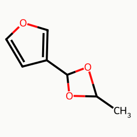 CC1OC(c2ccoc2)O1